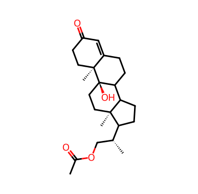 CC(=O)OC[C@@H](C)C1CCC2C3CCC4=CC(=O)CC[C@]4(C)[C@@]3(O)CC[C@@]21C